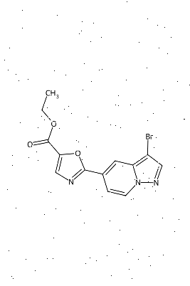 CCOC(=O)c1cnc(-c2ccn3ncc(Br)c3c2)o1